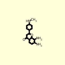 CNc1ccc(-c2cc(=O)c3ccc(N)c(N)c3o2)cc1